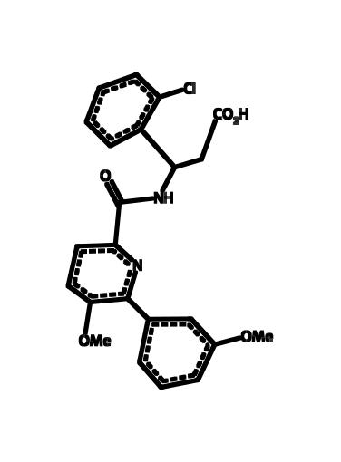 COc1cccc(-c2nc(C(=O)NC(CC(=O)O)c3ccccc3Cl)ccc2OC)c1